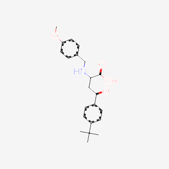 COc1ccc(CNC(CC(=O)c2ccc(C(C)(C)C)cc2)C(=O)O)cc1